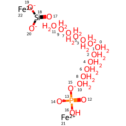 O.O.O.O.O.O.O.O.O.O.O.O.O=P([O-])([O-])O.O=[Si]([O-])[O-].[Fe+2].[Fe+2]